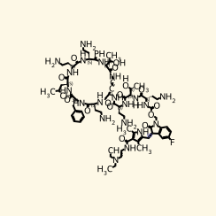 CCN(CC)CCNC(=O)c1c(C)[nH]c(/C=C2\C(=O)N(COC(=O)N[C@@H](CCN)C(=O)N[C@H](C(=O)N[C@@H](CCN)C(=O)N[C@H]3CCNC(=O)[C@H]([C@@H](C)O)NC(=P)[C@H](CCN)NC(=O)[C@H](CCN)NC(=O)[C@H](CC(C)C)NC(=O)[C@@H](Cc4ccccc4)NC(=O)[C@H](CCN)NC3=O)[C@@H](C)O)c3ccc(F)cc32)c1C